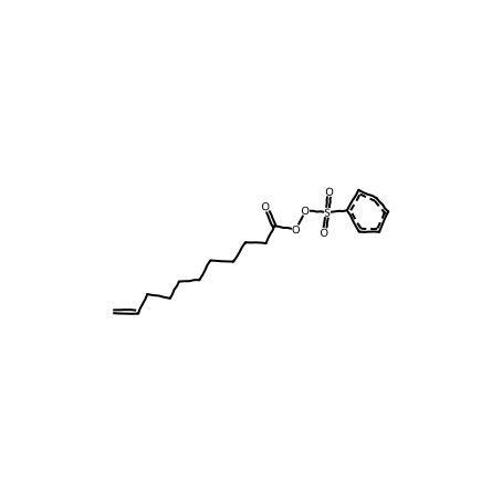 C=CCCCCCCCCC(=O)OOS(=O)(=O)c1ccccc1